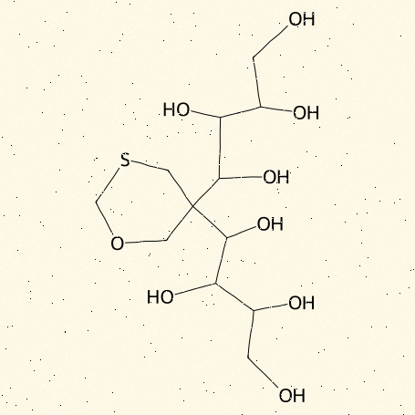 OCC(O)C(O)C(O)C1(C(O)C(O)C(O)CO)COCSC1